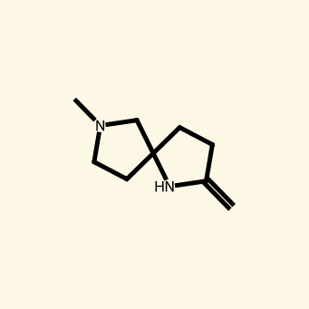 C=C1CCC2(CCN(C)C2)N1